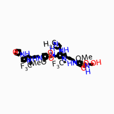 COc1cc(S(=O)(=O)NCCO)ccc1NCC#Cc1cc2c(NC3CCN(C)CC3)cc(CNS(=O)(=O)c3ccc(NCC#Cc4cc5c(NC6CCOCC6)cccc5n4CC(F)(F)F)c(OC)c3)cc2n1CC(F)(F)F